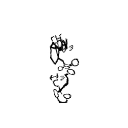 CC1(CCOS(=O)(=O)CC23CCC(CC2=O)C3(C)C)OCCO1